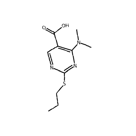 CCCSc1ncc(C(=O)O)c(N(C)C)n1